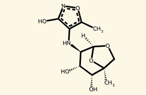 Cc1onc(O)c1N[C@H]1[C@H]2OC[C@](C)(O2)[C@H](O)[C@@H]1O